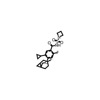 O=C(NS(=O)(=O)N1CCC1)c1cc(C2CC2)c(OCC23CCC(F)CC2C3)cc1F